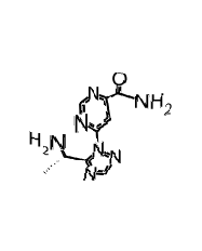 C[C@H](N)c1ncnn1-c1cc(C(N)=O)ncn1